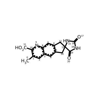 Cc1cc2cc3c(cc2nc1C(=O)O)CC1(C3)NC(=O)NC1=O